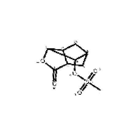 CS(=O)(=O)OC1C2CC3C(=O)OC1C3C2